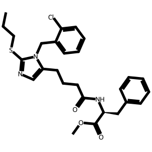 CCCSc1ncc(CCCC(=O)N[C@@H](Cc2ccccc2)C(=O)OC)n1Cc1ccccc1Cl